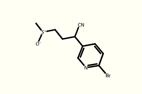 C[S+]([O-])CCC(C#N)c1ccc(Br)nc1